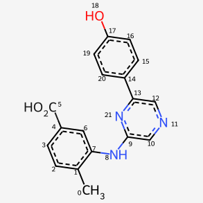 Cc1ccc(C(=O)O)cc1Nc1cncc(-c2ccc(O)cc2)n1